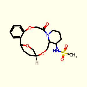 CS(=O)(=O)NC1CCCN2C(=O)COc3ccccc3C3CC[C@@H](CO3)OCC12